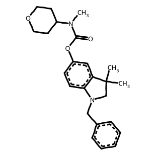 CN(C(=O)Oc1ccc2c(c1)C(C)(C)CN2Cc1ccccc1)C1CCOCC1